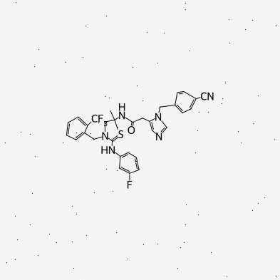 CC(C)(CN(Cc1ccccc1C(F)(F)F)C(=S)Nc1cccc(F)c1)NC(=O)Cc1cncn1Cc1ccc(C#N)cc1